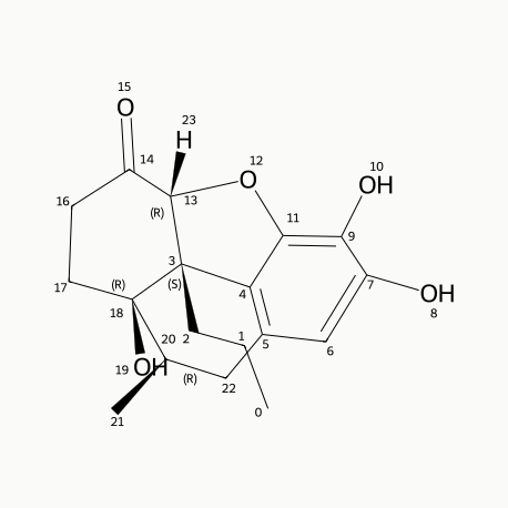 CCC[C@]12c3c4cc(O)c(O)c3O[C@H]1C(=O)CC[C@@]2(O)[C@H](C)C4